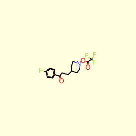 O=C(CCC1CCN(OC(=O)C(F)(F)F)CC1)c1ccc(F)cc1